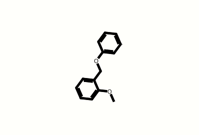 COc1ccccc1COc1c[c]ccc1